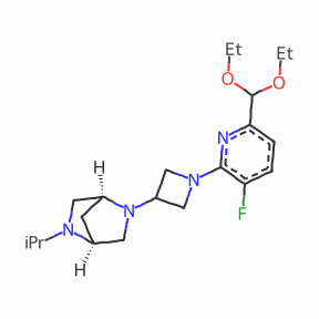 CCOC(OCC)c1ccc(F)c(N2CC(N3C[C@@H]4C[C@H]3CN4C(C)C)C2)n1